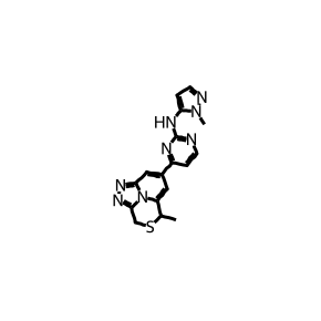 CC1SCc2nnc3cc(-c4ccnc(Nc5ccnn5C)n4)cc1n23